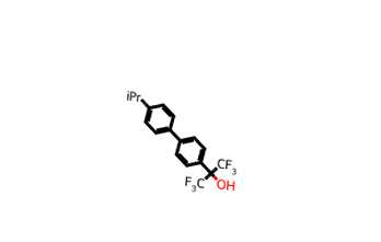 CC(C)c1ccc(-c2ccc(C(O)(C(F)(F)F)C(F)(F)F)cc2)cc1